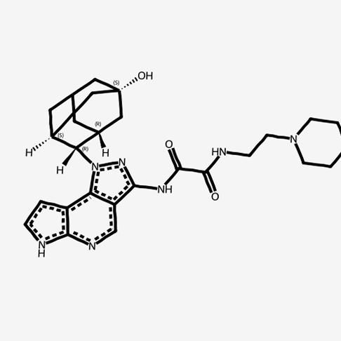 O=C(NCCN1CCCCC1)C(=O)Nc1nn([C@H]2[C@@H]3CC4C[C@H]2C[C@@](O)(C4)C3)c2c1cnc1[nH]ccc12